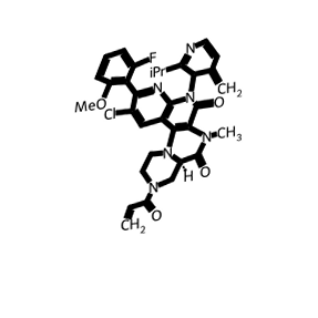 C=CC(=O)N1CCN2c3c(c(=O)n(C4C(=C)C=CN=C4C(C)C)c4nc(-c5c(F)cccc5OC)c(Cl)cc34)N(C)C(=O)[C@H]2C1